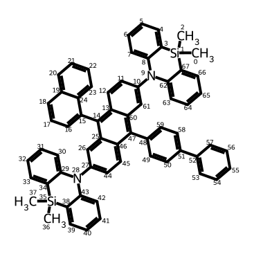 C[Si]1(C)c2ccccc2N(c2ccc3c(-c4cccc5ccccc45)c4cc(N5c6ccccc6[Si](C)(C)c6ccccc65)ccc4c(-c4ccc(-c5ccccc5)cc4)c3c2)c2ccccc21